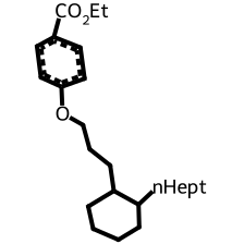 CCCCCCCC1CCCCC1CCCOc1ccc(C(=O)OCC)cc1